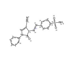 N#CC1=NN(c2ccccc2)C(=O)C1/N=N/c1ccc(S(N)(=O)=O)cc1